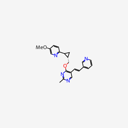 COc1ccc(C2C[C@@H]2COc2nc(C)ncc2/C=C/c2cccnc2)nc1